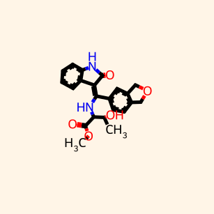 COC(=O)C(NC(=C1C(=O)Nc2ccccc21)c1ccc2c(c1)COC2)C(C)O